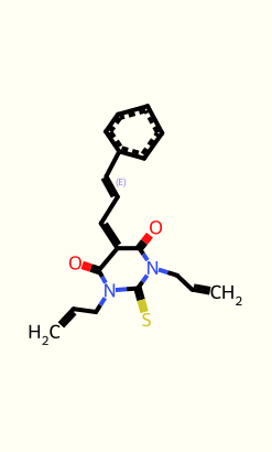 C=CCN1C(=O)C(=C/C=C/c2ccccc2)C(=O)N(CC=C)C1=S